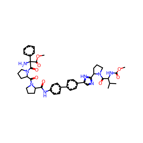 COC(=O)NC(C(=O)N1CCCC1c1ncc(-c2ccc(-c3ccc(NC(=O)C4CCCN4C(=O)C4CCCN4C(=O)C(N)(C(=O)OC)c4ccccc4)cc3)cc2)[nH]1)C(C)C